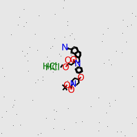 CCOC(=O)CC(=O)N(Cc1ccc2ccc(C#N)cc2c1)c1ccc(OC2CCN(C(=O)OC(C)(C)C)CC2)cc1.Cl.Cl